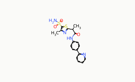 Cc1nc(C(C)C(=O)Nc2ccc(-c3ccccn3)cc2)sc1S(N)(=O)=O